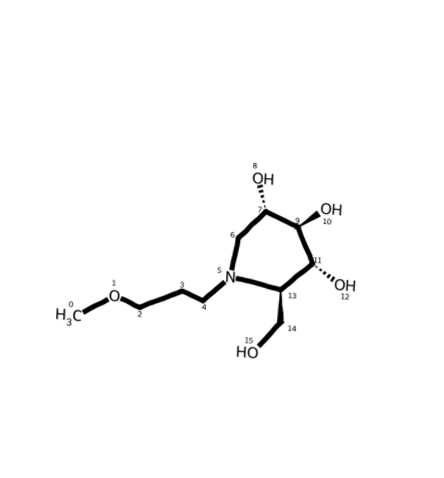 COCCCN1C[C@H](O)[C@@H](O)[C@H](O)[C@H]1CO